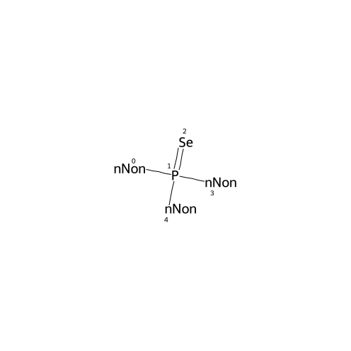 CCCCCCCCCP(=[Se])(CCCCCCCCC)CCCCCCCCC